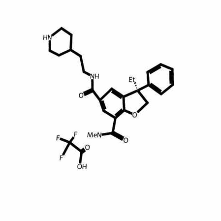 CC[C@]1(c2ccccc2)COc2c(C(=O)NC)cc(C(=O)NCCC3CCNCC3)cc21.O=C(O)C(F)(F)F